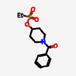 CCS(=O)(=O)OC1CCN(C(=O)c2ccccc2)CC1